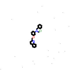 ClCN(Cc1ccccc1)c1cccc(OCc2ccc3ccccc3n2)c1